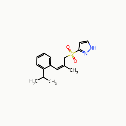 CC(=Cc1ccccc1C(C)C)CS(=O)(=O)c1cc[nH]n1